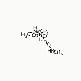 CCC(=O)N[C@@H](CC)C(=O)NCC(=O)NCCOCCNC